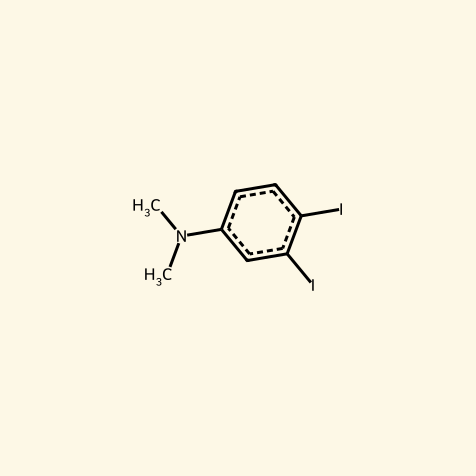 CN(C)c1ccc(I)c(I)c1